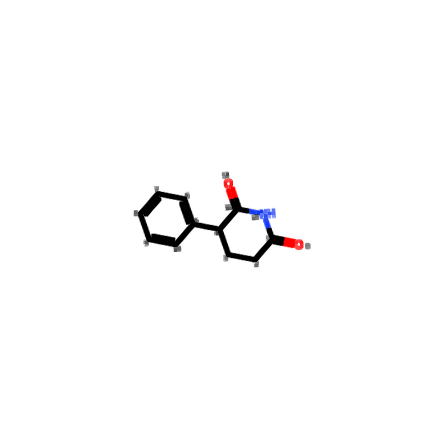 O=C1CCC(c2cc[c]cc2)C(=O)N1